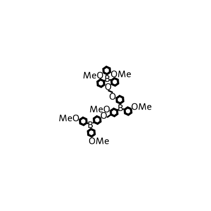 COc1ccc(B(c2ccc(OC)cc2)c2ccc(OCc3ccc(B(c4cccc(OC)c4)c4cccc(OCCOc5ccccc5B(c5ccccc5OC)c5ccccc5OC)c4)cc3OC)cc2)cc1